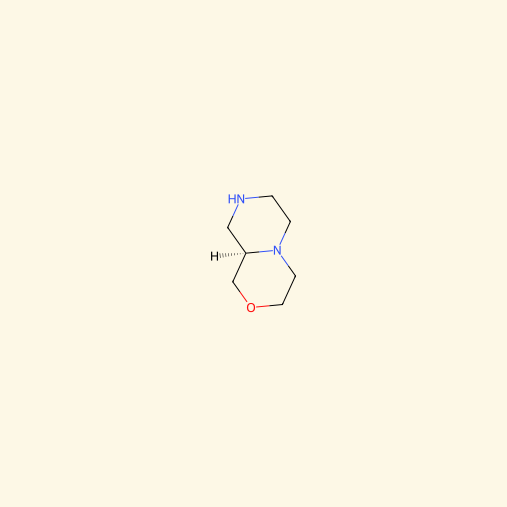 C1CN2CCOC[C@H]2CN1